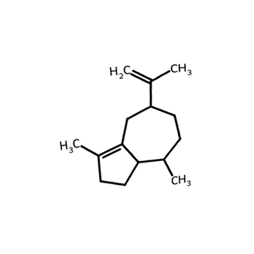 C=C(C)C1CCC(C)C2CCC(C)=C2C1